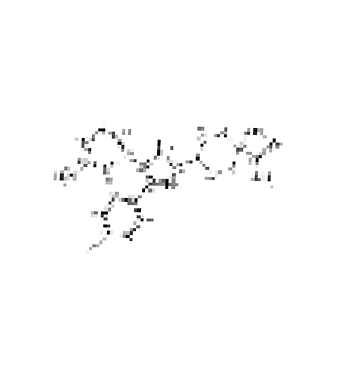 CC1(C(N)=O)COC(c2nc(-c3ccc(F)cc3)c(-c3ccnc(N)n3)[nH]2)OC1